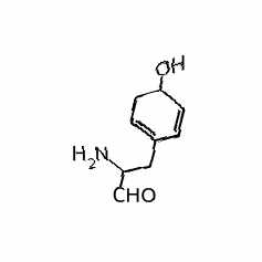 NC(C=O)CC1=CCC(O)C=C1